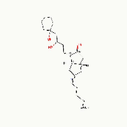 O=C(O)CCC/C=C1\C[C@H]2C[C@H](O)[C@@H](C=CC(O)CC3(O)CCCCC3)[C@@H]2C1